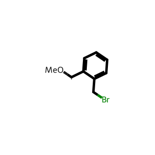 CO[CH]c1ccccc1CBr